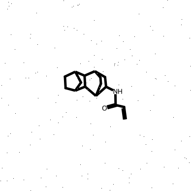 C=CC(=O)NC1CC2CCC1C1C3CCC(C3)C21